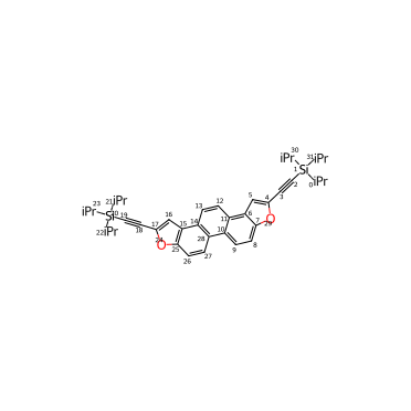 CC(C)[Si](C#Cc1cc2c(ccc3c2ccc2c4cc(C#C[Si](C(C)C)(C(C)C)C(C)C)oc4ccc23)o1)(C(C)C)C(C)C